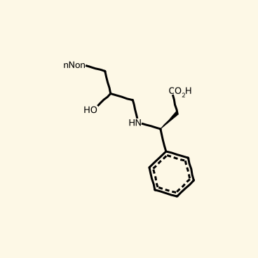 CCCCCCCCCCC(O)CN[C@@H](CC(=O)O)c1ccccc1